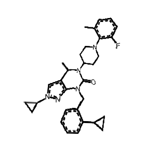 Cc1cccc(F)c1N1CCC(N2C(=O)N(Cc3ccccc3C3CC3)c3nn(C4CC4)cc3C2C)CC1